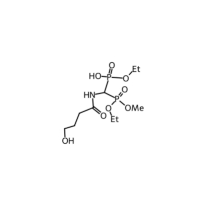 CCOP(=O)(O)C(NC(=O)CCCO)P(=O)(OC)OCC